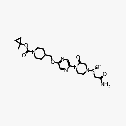 CC1(OC(=O)N2CCC(COc3cnc(N4CCN([S+]([O-])CC(N)=O)CC4=O)cn3)CC2)CC1